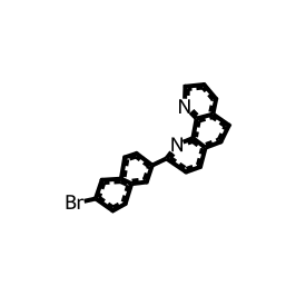 Brc1ccc2cc(-c3ccc4ccc5cccnc5c4n3)ccc2c1